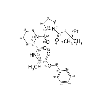 CCC(C)(C)CC(=O)N1CCC[C@H]1C(=O)N1CCCC[C@H]1C(=O)N[C@@H](C)C(=O)OCc1ccccc1